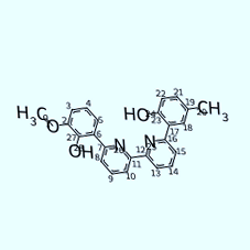 COc1cccc(-c2cccc(-c3cccc(-c4cc(C)ccc4O)n3)n2)c1O